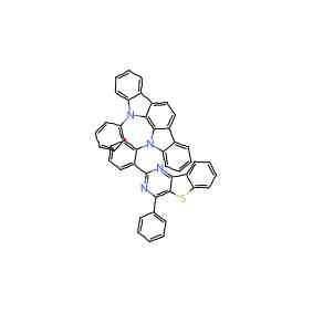 c1ccc(-c2nc(-c3ccccc3-n3c4ccccc4c4ccc5c6ccccc6n(-c6ccccc6)c5c43)nc3c2sc2ccccc23)cc1